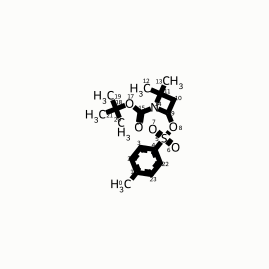 Cc1ccc(S(=O)(=O)OC2CC(C)(C)N2C(=O)OC(C)(C)C)cc1